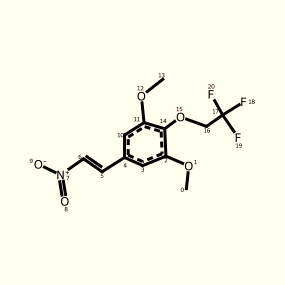 COc1cc(C=C[N+](=O)[O-])cc(OC)c1OCC(F)(F)F